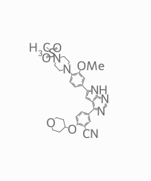 COc1cc(-c2cc3c(-c4ccc(OC5CCOCC5)c(C#N)c4)ncnc3[nH]2)ccc1N1CCN(S(C)(=O)=O)CC1